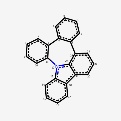 c1ccc2c(c1)-c1ccccc1-n1c3ccccc3c3cccc-2c31